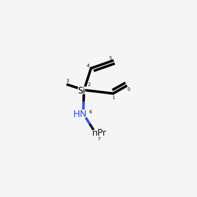 C=C[Si](C)(C=C)NCCC